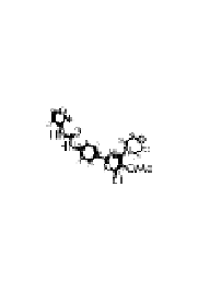 COc1c(Cl)nc(-c2ccc(NC(=O)Nc3ccon3)cc2)nc1N1CCOCC1